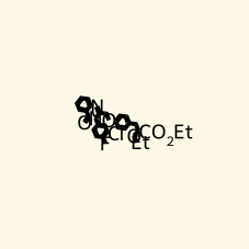 CCOC(=O)C(Cc1ccc(OCc2nc3ccccc3c(=O)n2-c2ccc(F)c(Cl)c2)cc1)OCC